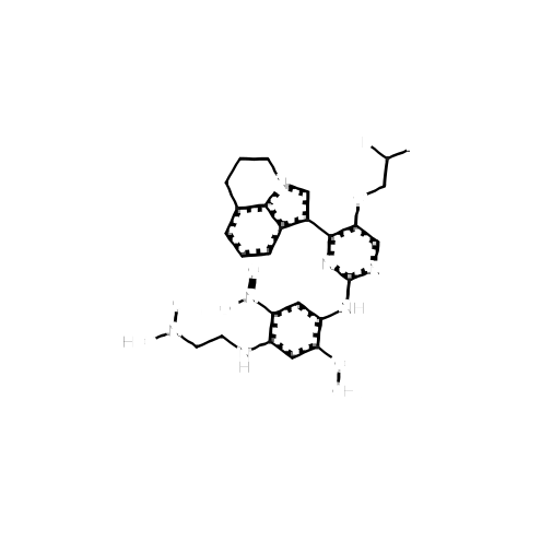 COc1cc(NCCN(C)C)c([N+](=O)[O-])cc1Nc1ncc(OCC(F)F)c(-c2cn3c4c(cccc24)CCC3)n1